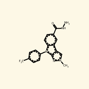 Cn1cc2c3cc(C(=O)NN)ccc3n(-c3ccc(C(F)(F)F)cc3)c2n1